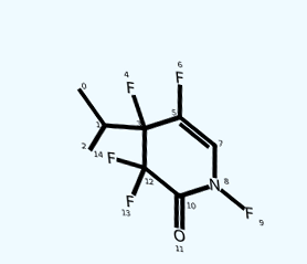 CC(C)C1(F)C(F)=CN(F)C(=O)C1(F)F